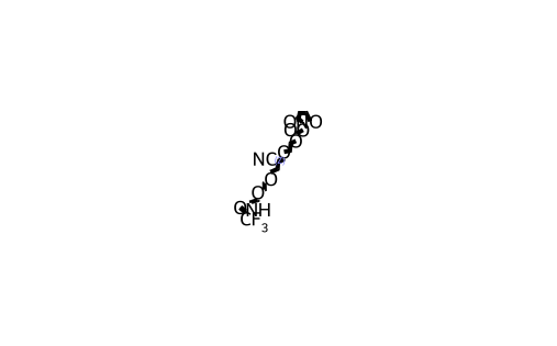 N#C/C(=C\OCCOC(=O)ON1C(=O)CCC1=O)CCOCCOCCNC(=O)C(F)(F)F